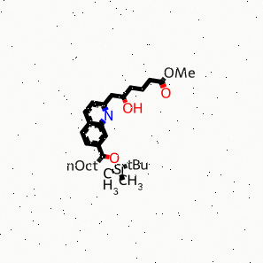 CCCCCCCCC(O[Si](C)(C)C(C)(C)C)c1ccc2ccc(CC(O)CCCC(=O)OC)nc2c1